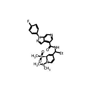 CCC(NC(=O)c1cncc2c1cnn2-c1ccc(F)cc1)C1=C[C@H](S(C)(=O)=O)N(N(C)C)C=C1